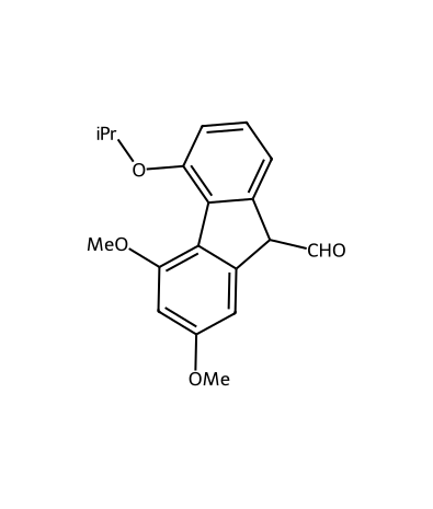 COc1cc(OC)c2c(c1)C(C=O)c1cccc(OC(C)C)c1-2